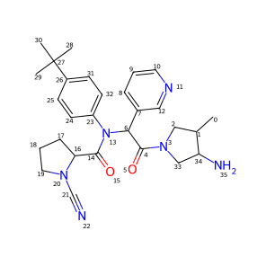 CC1CN(C(=O)C(c2cccnc2)N(C(=O)C2CCCN2C#N)c2ccc(C(C)(C)C)cc2)CC1N